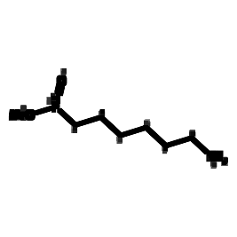 CO[PH](=O)CCCCCCN